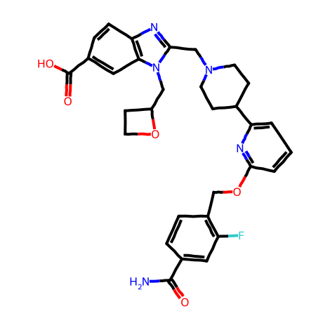 NC(=O)c1ccc(COc2cccc(C3CCN(Cc4nc5ccc(C(=O)O)cc5n4CC4CCO4)CC3)n2)c(F)c1